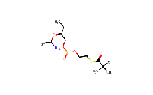 CCC(COP(O)OCCSC(=O)C(C)(C)C)OC(C)N